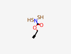 C#CCOC(=O)N(S)S